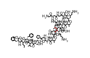 CC[C@H](C)[C@H](NC(=O)[C@H](Cc1ccccc1)NC(=O)[C@@H](NC(=O)[C@H](CO)NC(=O)[C@@H]1CCCN1C(=O)[C@H](C)NC(=O)[C@H](C)NC(=O)[C@@H](NC(=O)[C@@H](NC(=O)[C@H](CCCNC(=N)N)NC(=O)[C@H](CCCCN)NC(=O)[C@@H](NC(=O)[C@H](CCC(=O)O)NC(=O)[C@@H](NC(=O)[C@H](CCCCN)NC(=O)[C@@H](NC(=O)CNC(=O)CNC(=O)CN)[C@@H](C)O)C(C)C)[C@@H](C)CC)[C@@H](C)O)C(C)C)C(C)C)C(=O)N[C@@H](Cc1ccccc1)C(=O)O